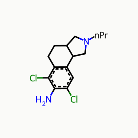 CCCN1CC2CCc3c(cc(Cl)c(N)c3Cl)C2C1